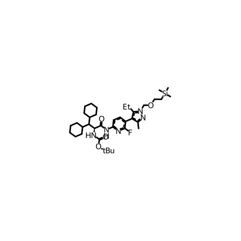 CCc1c(-c2ccc(NC(=O)[C@@H](NC(=O)OC(C)(C)C)C(C3CCCCC3)C3CCCCC3)nc2F)c(C)nn1COCC[Si](C)(C)C